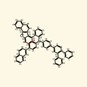 c1ccc(-c2ccc(-c3ccc(N(c4ccc(-c5ccc6ccccc6c5)cc4)c4ccccc4-c4cccc5oc6c7ccccc7ccc6c45)cc3)cc2-c2ccccc2)cc1